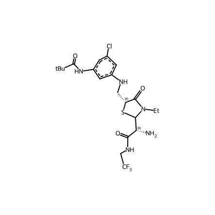 CCN1C(=O)[C@@H](CNc2cc(Cl)cc(NC(=O)C(C)(C)C)c2)SC1[C@H](N)C(=O)NCC(F)(F)F